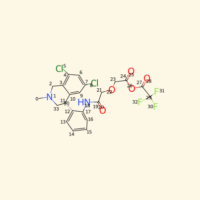 CN1Cc2c(Cl)cc(Cl)cc2[C@H](c2ccccc2NC(=O)COCC(=O)OC(=O)C(F)(F)F)C1